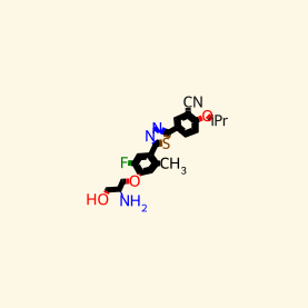 Cc1cc(OC[C@H](N)CO)c(F)cc1-c1nnc(-c2ccc(OC(C)C)c(C#N)c2)s1